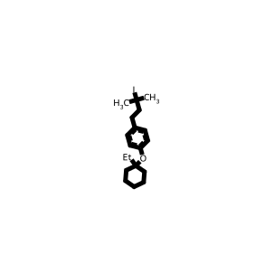 CCC1(Oc2ccc(CCC(C)(C)I)cc2)CCCCC1